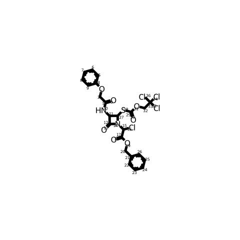 O=C(COc1ccccc1)NC1C(=O)N(C(Cl)C(=O)OCc2ccccc2)C1SC(=O)OCC(Cl)(Cl)Cl